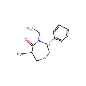 NC1CSC[C@@H](c2ccccc2)N(CC(=O)O)C1=O